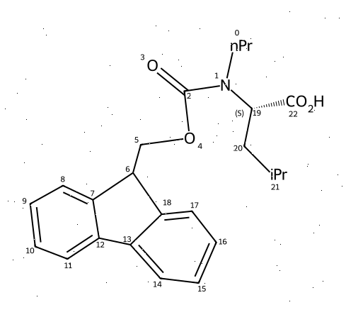 CCCN(C(=O)OCC1c2ccccc2-c2ccccc21)[C@@H](CC(C)C)C(=O)O